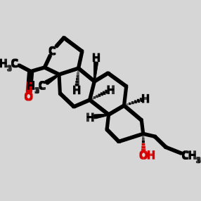 CCC[C@@]1(O)CC[C@H]2[C@@H](CC[C@@H]3[C@@H]2CC[C@]2(C)C(C(C)=O)CCC[C@@H]32)C1